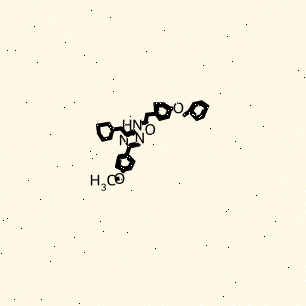 COc1ccc(-c2cnc(NC(=O)Cc3ccc(OCc4ccccc4)cc3)c(CC3CCCCC3)n2)cc1